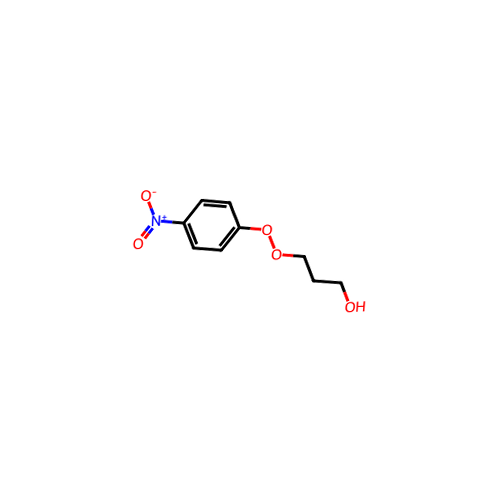 O=[N+]([O-])c1ccc(OOCCCO)cc1